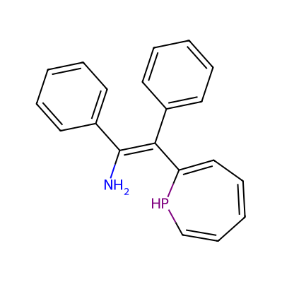 NC(=C(C1=CC=CC=CP1)c1ccccc1)c1ccccc1